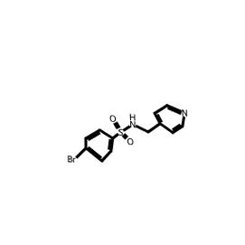 O=S(=O)(NCc1ccncc1)c1ccc(Br)cc1